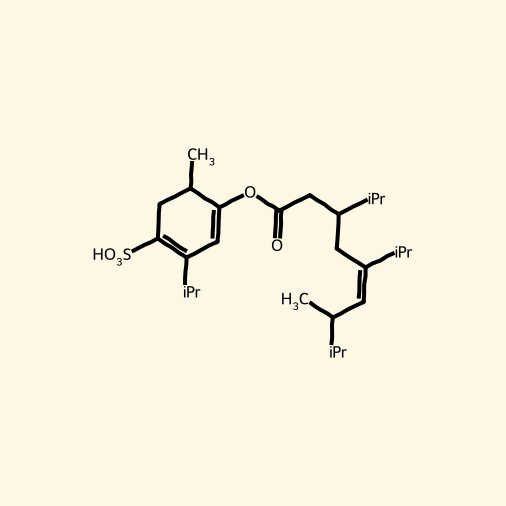 CC(C)C1=C(S(=O)(=O)O)CC(C)C(OC(=O)CC(C/C(=C\C(C)C(C)C)C(C)C)C(C)C)=C1